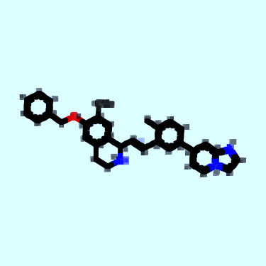 COc1cc2c(cc1OCc1ccccc1)CCNC2/C=C/c1cc(-c2ccn3ccnc3c2)ccc1C